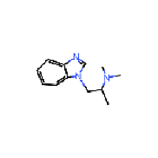 CC(Cn1cnc2ccccc21)N(C)C